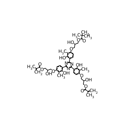 C=C(C)C(=O)OCC(O)COc1ccc(-c2nc(-c3ccc(OCC(O)COC(=O)C(=C)C)c(C)c3O)nc(-c3ccc(OCC(O)COC(=O)C(C)(C)C)c(C)c3O)n2)c(O)c1C